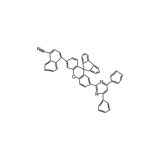 N#Cc1ccc(-c2ccc3c(c2)Oc2ccc(-c4nc(-c5ccccc5)cc(-c5ccccc5)n4)cc2C32c3ccccc3-c3ccccc32)c2ccccc12